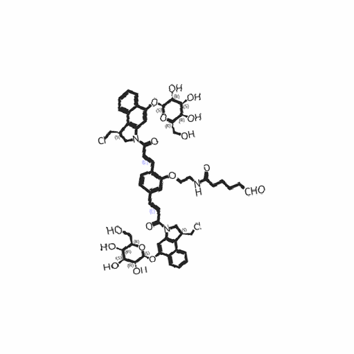 O=CCCCCC(=O)NCCOc1cc(/C=C/C(=O)N2C[C@@H](CCl)c3c2cc(O[C@@H]2O[C@H](CO)[C@H](O)[C@H](O)[C@H]2O)c2ccccc32)ccc1/C=C/C(=O)N1C[C@@H](CCl)c2c1cc(O[C@@H]1O[C@H](CO)[C@H](O)[C@H](O)[C@H]1O)c1ccccc21